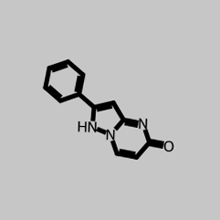 O=c1ccn2[nH]c(-c3ccccc3)cc2n1